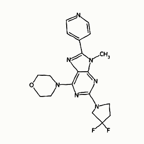 Cn1c(-c2ccncc2)nc2c(N3CCOCC3)nc(N3CCC(F)(F)C3)nc21